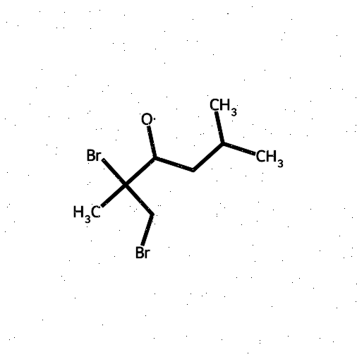 CC(C)CC([O])C(C)(Br)CBr